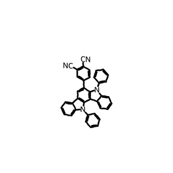 N#Cc1ccc(-c2cc3c4ccccc4n(-c4ccccc4)c3c3c4ccccc4n(-c4ccccc4)c23)cc1C#N